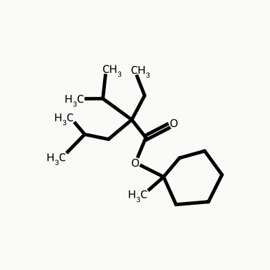 CCC(CC(C)C)(C(=O)OC1(C)CCCCC1)C(C)C